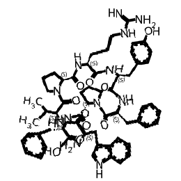 CC(C)[C@H](NC(=O)[C@@H](N)Cc1c[nH]c2ccccc12)C(=O)N1CCC[C@H]1C(=O)N[C@@H](CCCNC(=N)N)C(=O)N[C@@H](Cc1ccc(O)cc1)C(=O)N[C@@H](Cc1ccccc1)C(=O)N1CCC[C@H]1C(=O)N[C@@H](Cc1ccccc1)C(=O)O